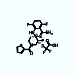 NC1=N[C@]2(CCN(C(=O)c3cccs3)C[C@@H]2F)Nc2c(F)ccc(F)c21.O=C(O)C(F)(F)F